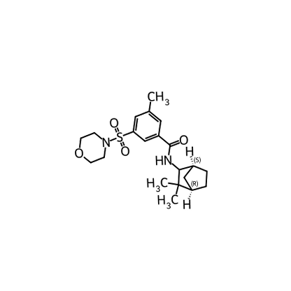 Cc1cc(C(=O)NC2[C@H]3CC[C@H](C3)C2(C)C)cc(S(=O)(=O)N2CCOCC2)c1